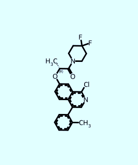 Cc1ccccc1-c1cnc(Cl)c2cc(O[C@H](C)C(=O)N3CCC(F)(F)CC3)ccc12